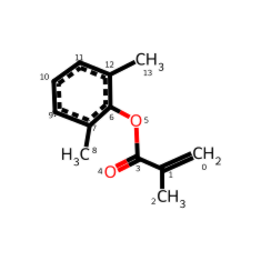 C=C(C)C(=O)Oc1c(C)[c]ccc1C